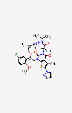 COc1ccc(F)cc1[C@H](Cn1c(=O)n(C(C)(C)C(=O)NC(C)C)c(=O)c2c(C)c(-n3cccn3)sc21)OC[C@@H](C)C#N